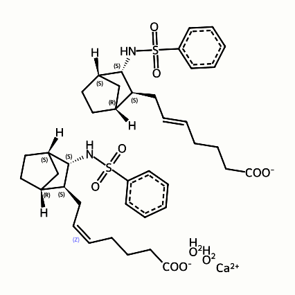 O.O.O=C([O-])CCC/C=C\C[C@H]1[C@@H]2CC[C@@H](C2)[C@@H]1NS(=O)(=O)c1ccccc1.O=C([O-])CCCC=CC[C@H]1[C@@H]2CC[C@@H](C2)[C@@H]1NS(=O)(=O)c1ccccc1.[Ca+2]